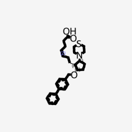 O=C(O)CC/C=C\CC[C@H]1[C@@H](OCc2ccc(-c3ccccc3)cc2)CC[C@@H]1N1CCSCC1